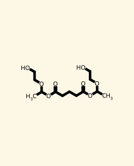 CC(OCCO)OC(=O)CCCC(=O)OC(C)OCCO